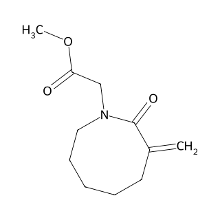 C=C1CCCCCN(CC(=O)OC)C1=O